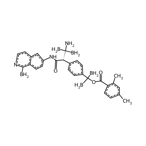 Bc1nccc2cc(NC(=O)[C@@H](c3ccc(C(B)(B)OC(=O)c4ccc(C)cc4C)cc3)C(B)(B)N)ccc12